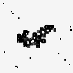 CC(C)OC(=O)Nc1cc(CC2(C)NC(=O)N(c3ccc(OC(F)(F)F)cc3)C2=O)ccn1